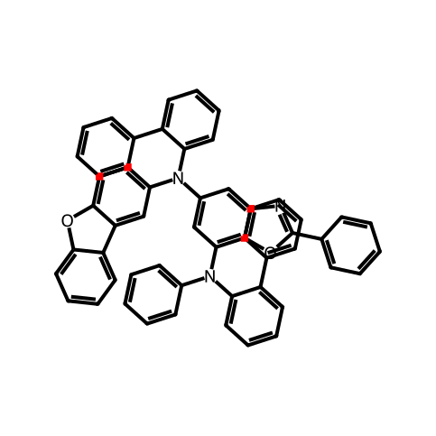 c1ccc(-c2nc3cc(N(c4ccc5oc6ccccc6c5c4)c4ccccc4-c4ccccc4)cc(N(c4ccccc4)c4ccccc4-c4ccccc4)c3o2)cc1